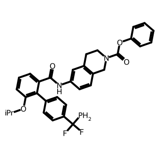 CC(C)Oc1cccc(C(=O)Nc2ccc3c(c2)CCN(C(=O)Oc2ccccc2)C3)c1-c1ccc(C(F)(F)P)cc1